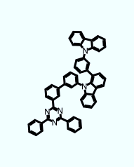 c1ccc(-c2nc(-c3ccccc3)nc(-c3cccc(-c4cccc(-n5c6ccccc6c6cccc(-c7cccc(-n8c9ccccc9c9ccccc98)c7)c65)c4)c3)n2)cc1